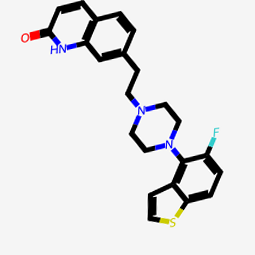 O=c1ccc2ccc(CCN3CCN(c4c(F)ccc5sccc45)CC3)cc2[nH]1